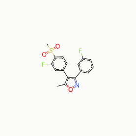 Cc1onc(-c2cccc(F)c2)c1-c1ccc(S(C)(=O)=O)c(F)c1